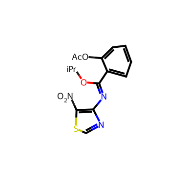 CC(=O)Oc1ccccc1/C(=N/c1ncsc1[N+](=O)[O-])OC(C)C